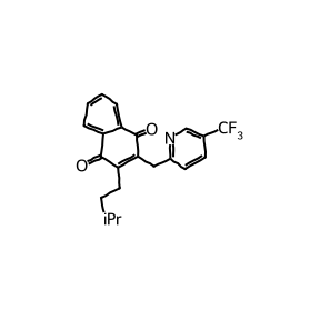 CC(C)CCC1=C(Cc2ccc(C(F)(F)F)cn2)C(=O)c2ccccc2C1=O